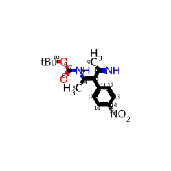 CC(=N)/C(=C(/C)NC(=O)OC(C)(C)C)c1ccc([N+](=O)[O-])cc1